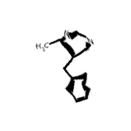 Cc1ncn[c]c1Cc1ccccc1